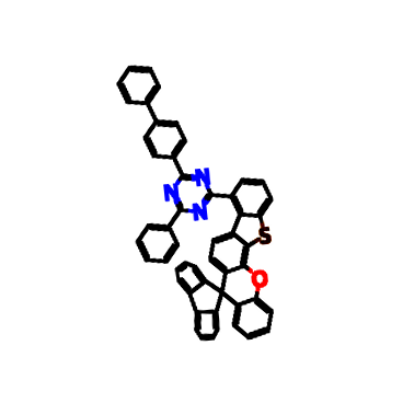 c1ccc(-c2ccc(-c3nc(-c4ccccc4)nc(-c4cccc5sc6c7c(ccc6c45)C4(c5ccccc5O7)c5ccccc5-c5ccccc54)n3)cc2)cc1